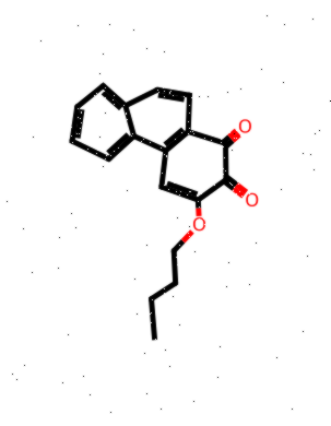 CCCCOC1=Cc2c(ccc3ccccc23)C(=O)C1=O